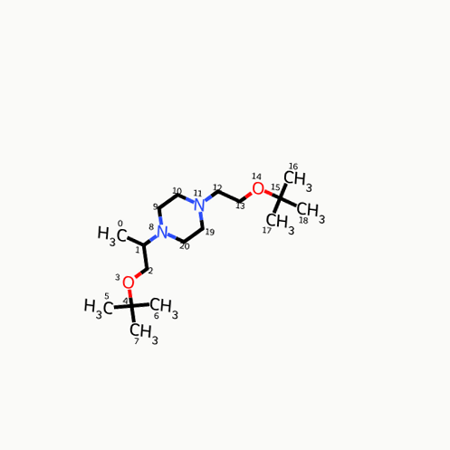 CC(COC(C)(C)C)N1CCN(CCOC(C)(C)C)CC1